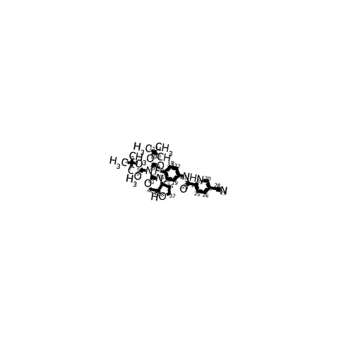 CC(C)(C)OC(=O)N(C(=O)OC(C)(C)C)C1=N[C@@]2(c3cc(NC(=O)c4ccc(C#N)cn4)ccc3F)CCO[C@H]2CO1